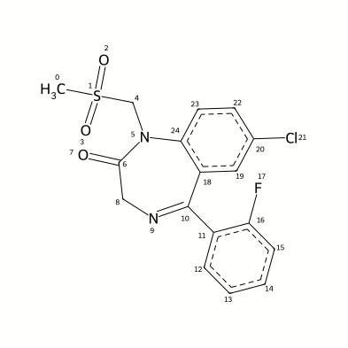 CS(=O)(=O)CN1C(=O)CN=C(c2ccccc2F)c2cc(Cl)ccc21